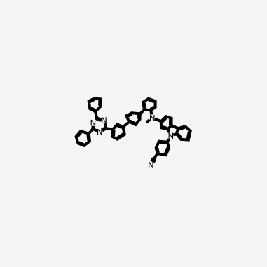 CN(c1ccc2c3ccccc3n(-c3ccc(C#N)cc3)c2c1)c1ccccc1-c1ccc(-c2cccc(-c3nc(-c4ccccc4)nc(-c4ccccc4)n3)c2)cc1